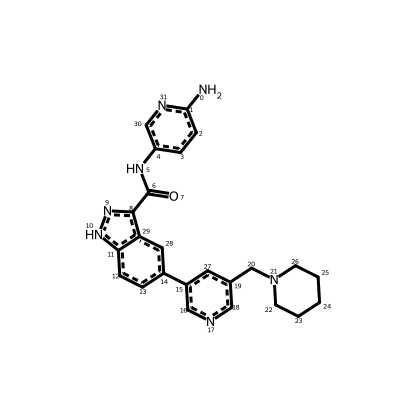 Nc1ccc(NC(=O)c2n[nH]c3ccc(-c4cncc(CN5CCCCC5)c4)cc23)cn1